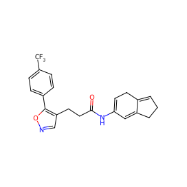 O=C(CCc1cnoc1-c1ccc(C(F)(F)F)cc1)NC1=CCC2=CCCC2=C1